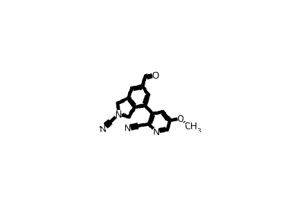 COc1cnc(C#N)c(-c2cc(C=O)cc3c2CN(C#N)C3)c1